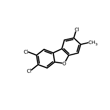 Cc1cc2oc3cc(Cl)c(Cl)cc3c2cc1Cl